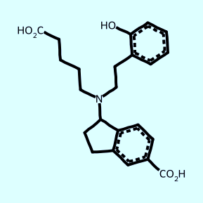 O=C(O)CCCCN(CCc1ccccc1O)C1CCc2cc(C(=O)O)ccc21